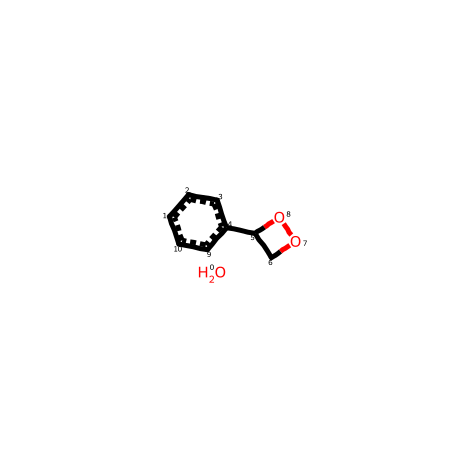 O.c1ccc(C2COO2)cc1